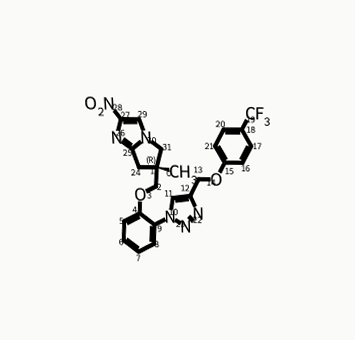 C[C@@]1(COc2ccccc2-n2cc(COc3ccc(C(F)(F)F)cc3)nn2)Cc2nc([N+](=O)[O-])cn2C1